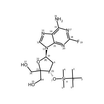 CC(C)(C)[Si](C)(C)O[C@H]1C[C@H](n2cnc3c(N)nc(F)nc32)OC1(CO)CO